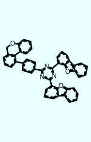 c1ccc2c(c1)OCc1cccc(-c3ccc(-c4nc(-c5cccc6c5oc5ccccc56)nc(-c5cccc6c5oc5ccccc56)n4)cc3)c1-2